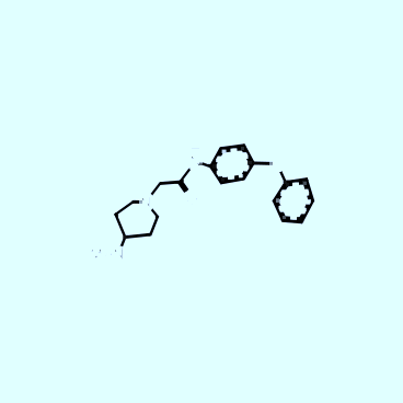 CNC1CCN(CC(=O)Nc2ccc(Oc3ccccc3)cc2)CC1